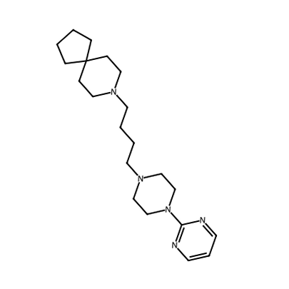 c1cnc(N2CCN(CCCCN3CCC4(CCCC4)CC3)CC2)nc1